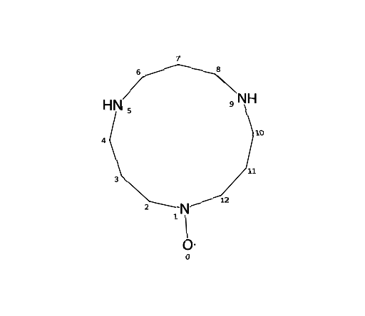 [O]N1CCCNCCCNCCC1